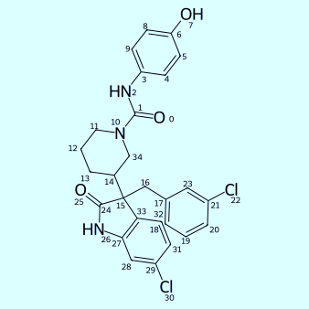 O=C(Nc1ccc(O)cc1)N1CCCC(C2(Cc3cccc(Cl)c3)C(=O)Nc3cc(Cl)ccc32)C1